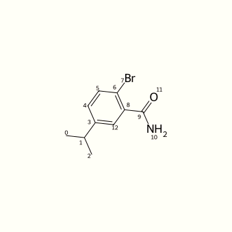 CC(C)c1ccc(Br)c(C(N)=O)c1